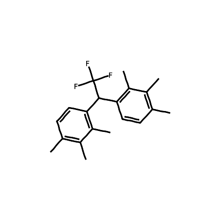 Cc1ccc(C(c2ccc(C)c(C)c2C)C(F)(F)F)c(C)c1C